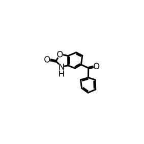 O=C(c1ccccc1)c1ccc2oc(=O)[nH]c2c1